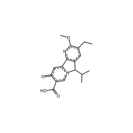 CCc1cc2c(nc1OC)-c1cc(=O)c(C(=O)O)cn1C2C(C)C